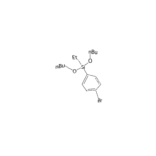 CCCCO[Si](CC)(OCCCC)c1ccc(Br)cc1